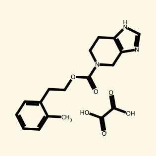 Cc1ccccc1CCOC(=O)N1CCc2[nH]cnc2C1.O=C(O)C(=O)O